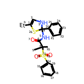 CCC1=CNC(NC(=O)C(C)(C)S(=O)(=O)c2ccccc2)(c2ccccc2)S1